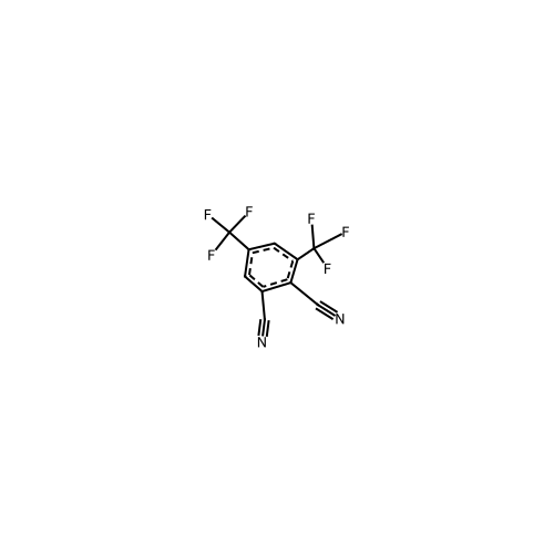 N#Cc1cc(C(F)(F)F)cc(C(F)(F)F)c1C#N